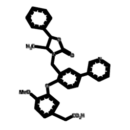 COc1ccc(CC(=O)O)cc1Oc1ccc(-c2cccnc2)cc1CN1C(=O)OC(c2ccccc2)C1C